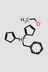 C1=CC[C]([Hf+]([CH2]c2ccccc2)[C]2=CC=CC2)=C1.CC[O-]